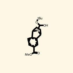 COC(=O)c1ccc2c(c1)C1CCC2N1C(O)OC(C)(C)C